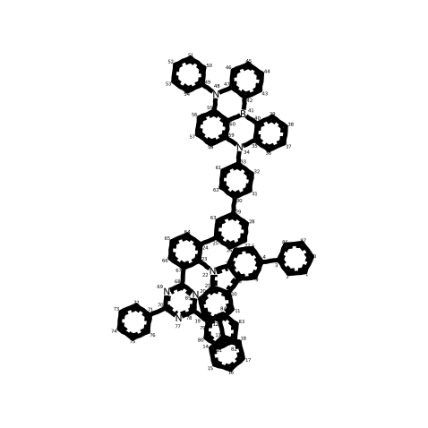 c1ccc(-c2ccc3c(c2)c2cc(-c4ccccc4)ccc2n3-c2c(-c3cccc(-c4ccc(N5c6ccccc6B6c7ccccc7N(c7ccccc7)c7cccc5c76)cc4)c3)cccc2-c2nc(-c3ccccc3)nc(-c3ccccc3)n2)cc1